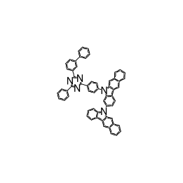 c1ccc(-c2cccc(-c3nc(-c4ccccc4)nc(-c4ccc(-n5c6cc(-n7c8ccccc8c8cc9ccccc9cc87)ccc6c6cc7ccccc7cc65)cc4)n3)c2)cc1